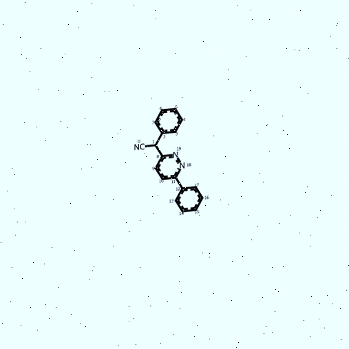 N#CC(c1ccccc1)c1ccc(-c2ccccc2)nn1